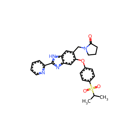 CC(C)S(=O)(=O)c1ccc(Oc2cc3nc(-c4ccccn4)[nH]c3cc2CN2CCCC2=O)cc1